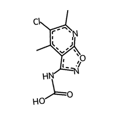 Cc1nc2onc(NC(=O)O)c2c(C)c1Cl